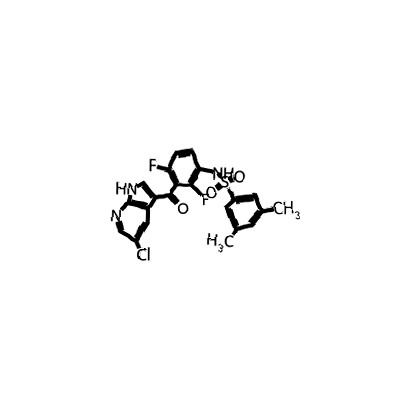 Cc1cc(C)cc(S(=O)(=O)Nc2ccc(F)c(C(=O)c3c[nH]c4ncc(Cl)cc34)c2F)c1